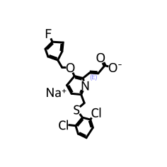 O=C([O-])/C=C/c1nc(CSc2c(Cl)cccc2Cl)ccc1OCc1ccc(F)cc1.[Na+]